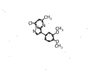 COc1ccc(-c2cnn3c(Cl)cc(C)nc23)cc1OC